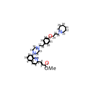 COC(=O)C=Cc1ccc2cccc(N3CCN(CCc4ccc(OCCCN5CCCCCC5)cc4)CC3)c2n1